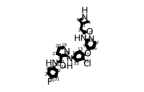 O=C(CC1CNC1)Nc1cc(Oc2ccc(Nc3ncccc3C(=O)Nc3ccc(F)cc3)cc2Cl)ccn1